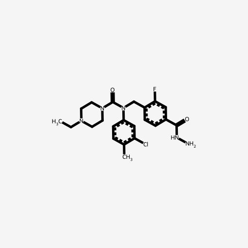 CCN1CCN(C(=O)N(Cc2ccc(C(=O)NN)cc2F)c2ccc(C)c(Cl)c2)CC1